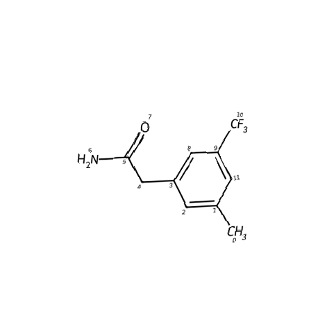 Cc1cc(CC(N)=O)cc(C(F)(F)F)c1